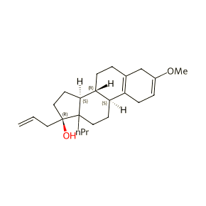 C=CC[C@]1(O)CC[C@H]2[C@@H]3CCC4=C(CC=C(OC)C4)[C@H]3CCC21CCC